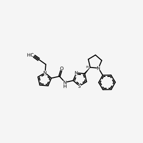 C#CCn1cccc1C(=O)Nc1nc([C@H]2CCCN2c2ccccc2)cs1